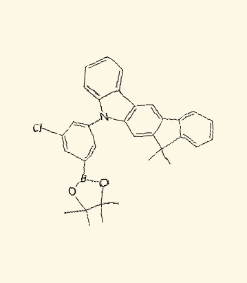 CC1(C)c2ccccc2-c2cc3c4ccccc4n(-c4cc(Cl)cc(B5OC(C)(C)C(C)(C)O5)c4)c3cc21